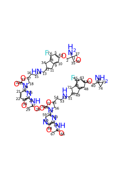 NC1(COc2cc(F)c3c(c2)CC(CNCCC2CN(c4ccc5c(n4)NC(=O)CO5)C(=O)O2)C3)COC1.NC1(COc2cc(F)c3c(c2)CC(CNCCC2CN(c4cnc5c(n4)NC(=O)CO5)C(=O)O2)C3)CC1